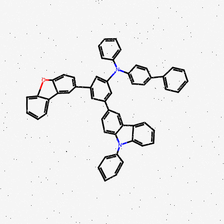 c1ccc(-c2ccc(N(c3ccccc3)c3cc(-c4ccc5oc6ccccc6c5c4)cc(-c4ccc5c(c4)c4ccccc4n5-c4ccccc4)c3)cc2)cc1